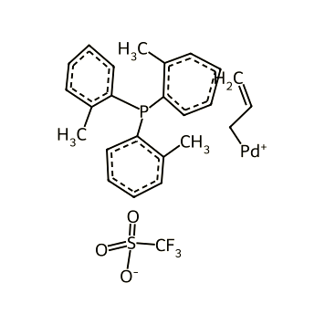 C=C[CH2][Pd+].Cc1ccccc1P(c1ccccc1C)c1ccccc1C.O=S(=O)([O-])C(F)(F)F